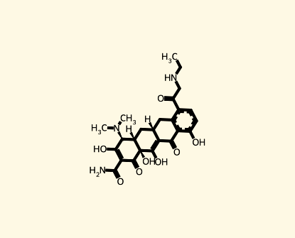 CCNCC(=O)c1ccc(O)c2c1C[C@H]1C[C@H]3[C@H](N(C)C)C(O)=C(C(N)=O)C(=O)[C@@]3(O)C(O)=C1C2=O